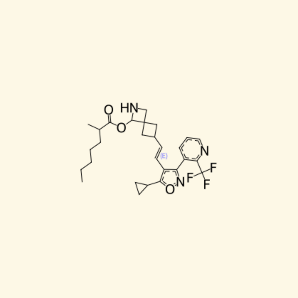 CCCCCC(C)C(=O)OC1NCC12CC(/C=C/c1c(-c3cccnc3C(F)(F)F)noc1C1CC1)C2